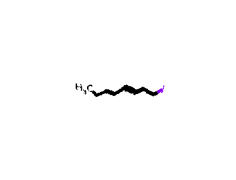 CCCC/C=C/CCI